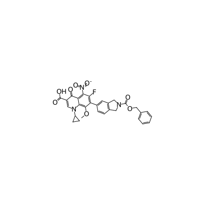 COc1c(-c2ccc3c(c2)CN(C(=O)OCc2ccccc2)C3)c(F)c([N+](=O)[O-])c2c(=O)c(C(=O)O)cn(C3CC3)c12